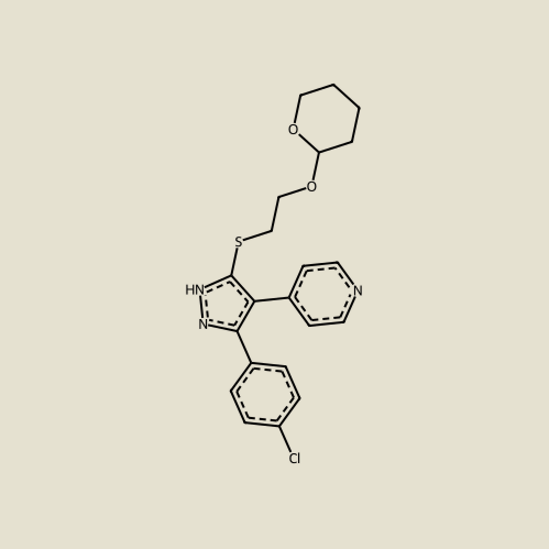 Clc1ccc(-c2n[nH]c(SCCOC3CCCCO3)c2-c2ccncc2)cc1